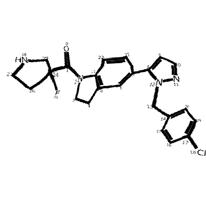 O=C(N1CCc2cc(-c3ccnn3Cc3ccc(Cl)cc3)ccc21)C1(F)CCNC1